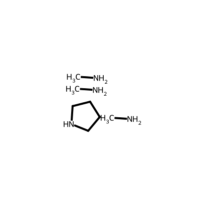 C1CCNC1.CN.CN.CN